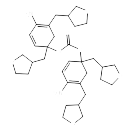 O=C(OC1(CC2CCOC2)C=CC([N+](=O)[O-])=C(CC2CCOC2)C1)OC1(CC2CCOC2)C=CC([N+](=O)[O-])=C(CC2CCOC2)C1